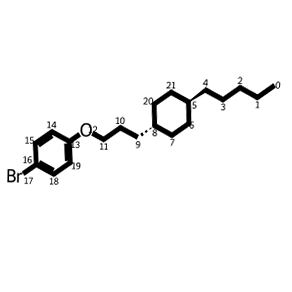 CCCCC[C@H]1CC[C@H](CCCOc2ccc(Br)cc2)CC1